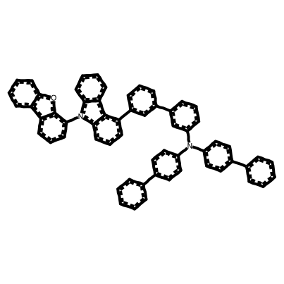 c1ccc(-c2ccc(N(c3ccc(-c4ccccc4)cc3)c3cccc(-c4cccc(-c5cccc6c5c5ccccc5n6-c5cccc6c5oc5ccccc56)c4)c3)cc2)cc1